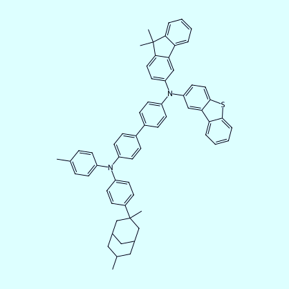 Cc1ccc(N(c2ccc(-c3ccc(N(c4ccc5c(c4)-c4ccccc4C5(C)C)c4ccc5sc6ccccc6c5c4)cc3)cc2)c2ccc(C3(C)CC4CC(C)CC(C4)C3)cc2)cc1